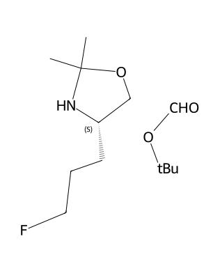 CC(C)(C)OC=O.CC1(C)N[C@@H](CCCF)CO1